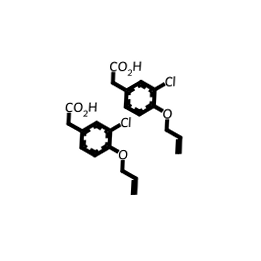 C=CCOc1ccc(CC(=O)O)cc1Cl.C=CCOc1ccc(CC(=O)O)cc1Cl